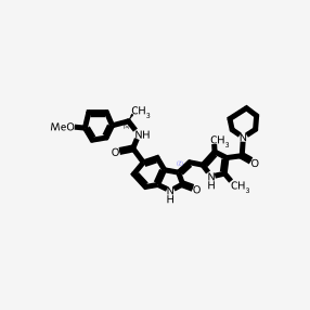 COc1ccc([C@H](C)NC(=O)c2ccc3c(c2)/C(=C/c2[nH]c(C)c(C(=O)N4CCCCC4)c2C)C(=O)N3)cc1